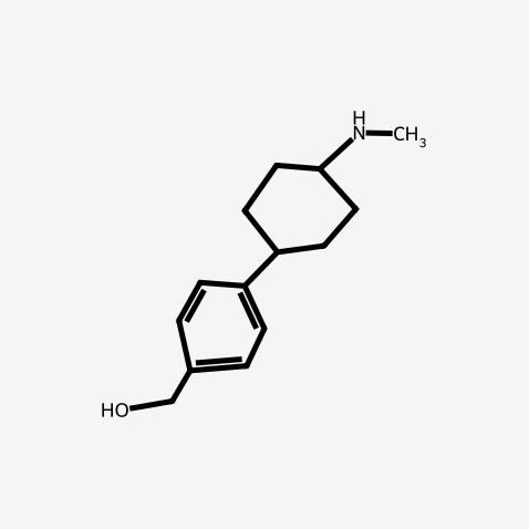 CNC1CCC(c2ccc(CO)cc2)CC1